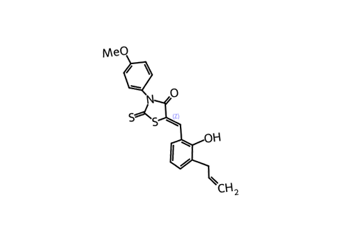 C=CCc1cccc(/C=C2\SC(=S)N(c3ccc(OC)cc3)C2=O)c1O